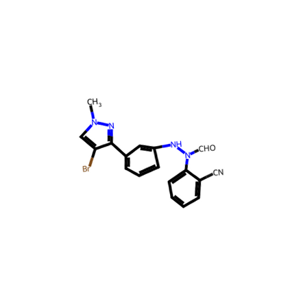 Cn1cc(Br)c(-c2cccc(NN(C=O)c3ccccc3C#N)c2)n1